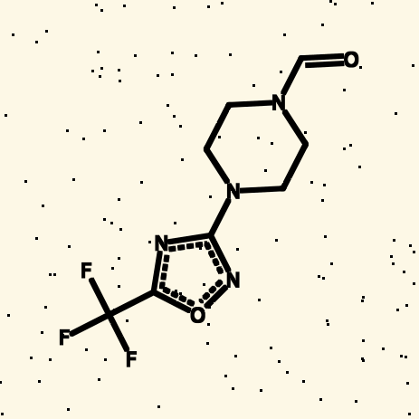 O=CN1CCN(c2noc(C(F)(F)F)n2)CC1